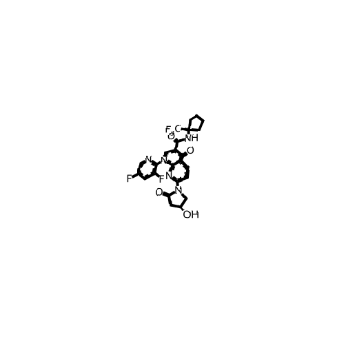 O=C(NC1(C(F)(F)F)CCCC1)c1cn(-c2ncc(F)cc2F)c2nc(N3C[C@@H](O)CC3=O)ccc2c1=O